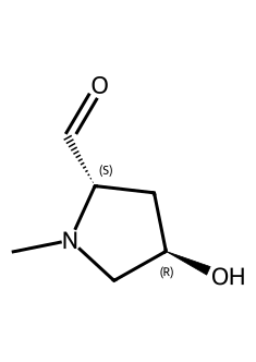 CN1C[C@H](O)C[C@H]1C=O